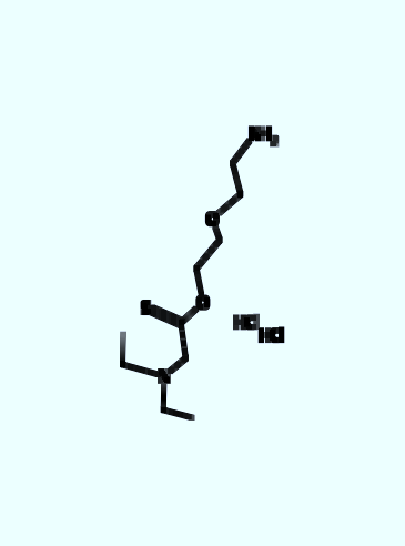 CCN(CC)CC(=S)OCCOCCN.Cl.Cl